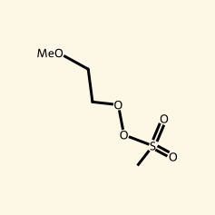 COCCOOS(C)(=O)=O